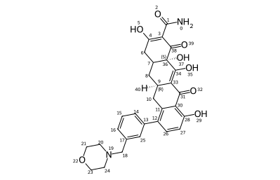 NC(=O)C1=C(O)CC2C[C@@H]3Cc4c(-c5cccc(CN6CCOCC6)c5)ccc(O)c4C(=O)C3=C(O)[C@]2(O)C1=O